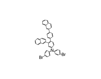 Brc1ccc(N(c2ccc(Br)cc2)c2ccc(-c3ccc(-c4ccc5ccccc5c4)cc3)c(-c3ccc4ccccc4c3)c2)cc1